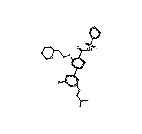 CC(C)COc1cc(F)cc(-c2ccc(C(=O)NS(=O)(=O)c3ccccn3)c(OCCC3CCCCO3)n2)c1